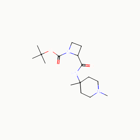 CN1CCC(C)(NC(=O)C2CCN2C(=O)OC(C)(C)C)CC1